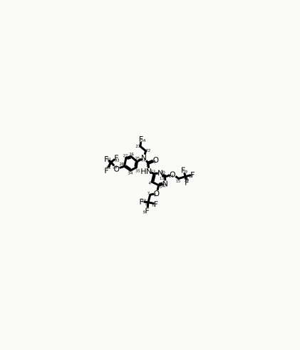 O=C(Nc1cc(OCC(F)(F)F)nc(OCC(F)(F)F)n1)N(CCF)c1ccc(OC(F)(F)F)cc1